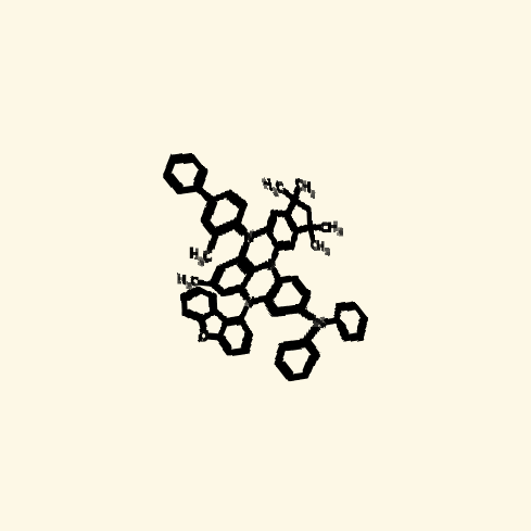 Cc1cc2c3c(c1)N(c1cccc4oc5ccccc5c14)c1cc(N(c4ccccc4)c4ccccc4)ccc1B3c1cc3c(cc1N2c1ccc(-c2ccccc2)cc1C)C(C)(C)CC3(C)C